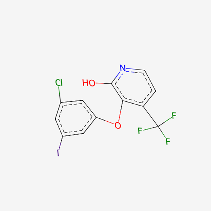 Oc1nccc(C(F)(F)F)c1Oc1cc(Cl)cc(I)c1